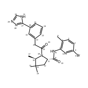 Cc1ccc(Br)nc1NC(=O)[C@@H]1CC(C)(C)[C@@H](C)N1C(=O)Cc1cccc(-c2nnc[nH]2)c1